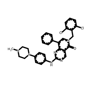 CN1CCN(c2ccc(Nc3ncc4c(=O)n(Cc5c(Cl)cccc5Cl)cc(-c5ccccc5)c4n3)cc2)CC1